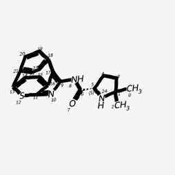 CC1(C)CC[C@@H](C(=O)Nc2nc3sc4ccc3c2c2ccc4cc2)N1